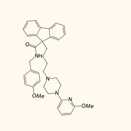 COc1ccc(CNC(=O)C2(CCCCN3CCN(c4cccc(OC)n4)CC3)c3ccccc3-c3ccccc32)cc1